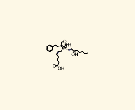 CCCCC[C@@H](O)/C=C/[C@@H]1[C@@H](C/C=C\CCCC(=O)O)[C@@]2(CCc3ccccc3)CO[C@@H]1C2